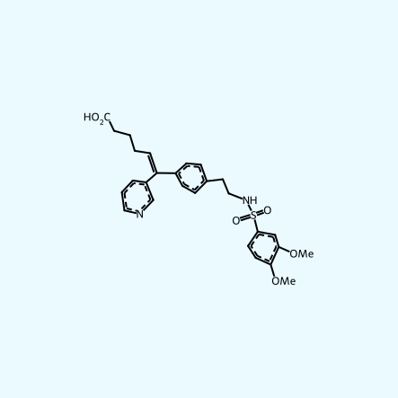 COc1ccc(S(=O)(=O)NCCc2ccc(/C(=C/CCCC(=O)O)c3cccnc3)cc2)cc1OC